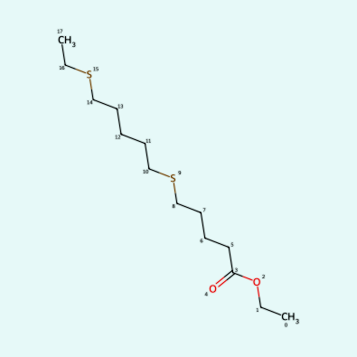 CCOC(=O)CCCCSCCCCCSCC